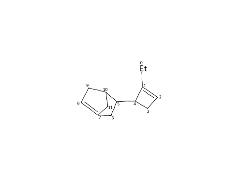 CCC1=CCC1C1CC2=CCC1C2